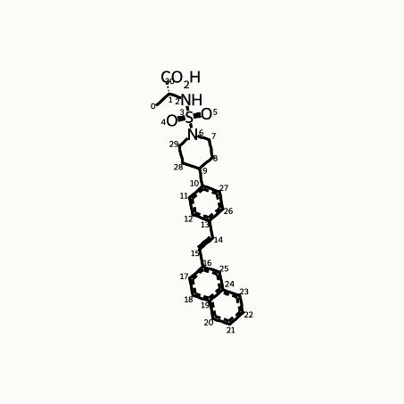 C[C@@H](NS(=O)(=O)N1CCC(c2ccc(C=Cc3ccc4ccccc4c3)cc2)CC1)C(=O)O